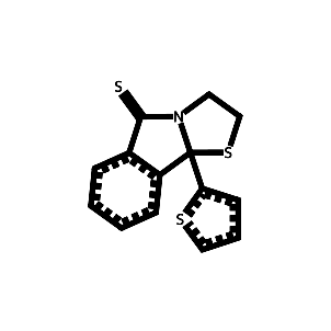 S=C1c2ccccc2C2(c3cccs3)SCCN12